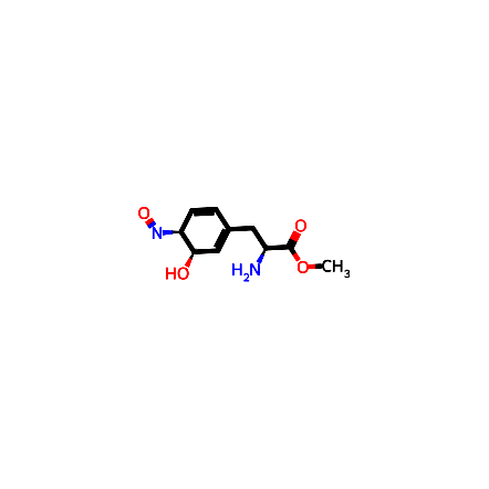 COC(=O)[C@@H](N)CC1=C[C@@H](O)[C@@H](N=O)C=C1